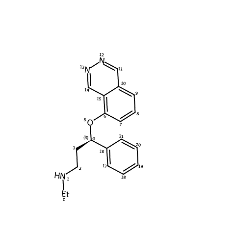 CCNCC[C@@H](Oc1cccc2cnncc12)c1ccccc1